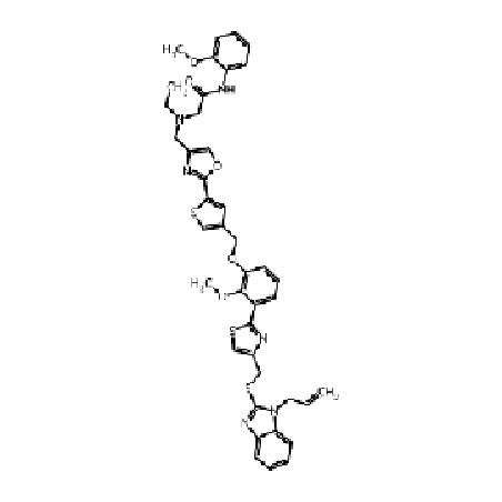 C=CCn1c(SCc2csc(-c3cccc(OCc4csc(-c5nc(CN(CC)CC(=O)Nc6ccccc6OC)co5)c4)c3OC)n2)nc2ccccc21